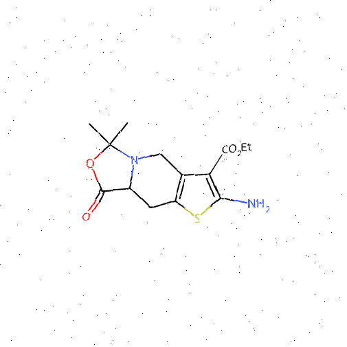 CCOC(=O)c1c(N)sc2c1CN1C(C2)C(=O)OC1(C)C